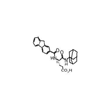 O=C(O)CC[C@H](NC(=O)c1ccc2c(c1)Cc1ccccc1-2)C(=O)NC12CC3CC(CC(C3)C1)C2